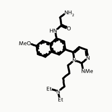 CCN(CC)CCCCN1C(c2cc(NC(=O)CN)c3cc(OC)ccc3c2)=CC=NC1NC